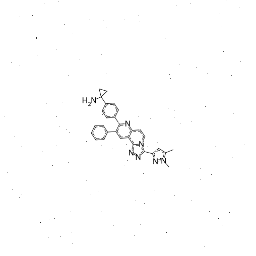 Cc1cc(-c2nnc3c4cc(-c5ccccc5)c(-c5ccc(C6(N)CC6)cc5)nc4ccn23)nn1C